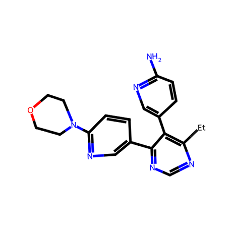 CCc1ncnc(-c2ccc(N3CCOCC3)nc2)c1-c1ccc(N)nc1